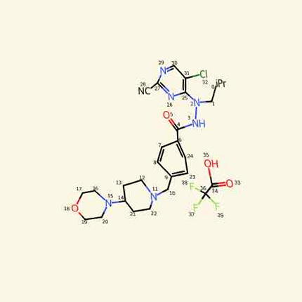 CC(C)CN(NC(=O)c1ccc(CN2CCC(N3CCOCC3)CC2)cc1)c1nc(C#N)ncc1Cl.O=C(O)C(F)(F)F